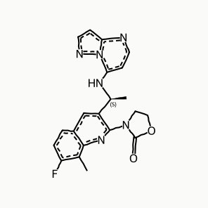 Cc1c(F)ccc2cc([C@H](C)Nc3ccnc4ccnn34)c(N3CCOC3=O)nc12